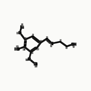 CCOc1cc(/C=N/CCO)cc(OCC)c1O